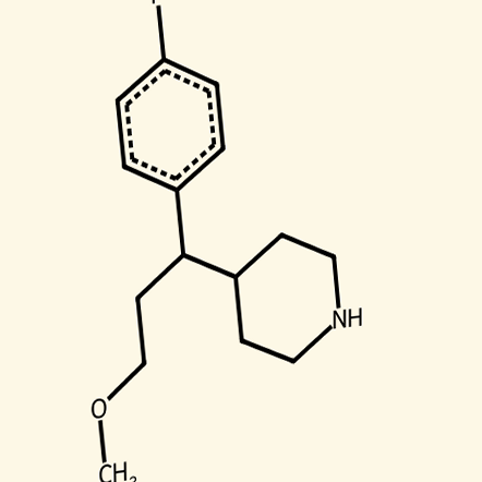 COCCC(c1ccc(F)cc1)C1CCNCC1